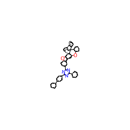 c1ccc(-c2ccc(-c3nc(-c4ccccc4)nc(-c4ccc5oc6cc7c(cc6c5c4)Oc4ccccc4C74c5ccccc5-c5ccccc54)n3)cc2)cc1